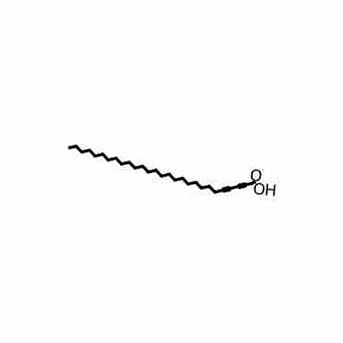 CCCCCCCCCCCCCCCCCCCCCCCC#CC#CC(=O)O